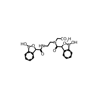 O=C(O)CN(CCNC(=O)C1OB(O)c2ccccc21)C(=O)C1OB(O)c2ccccc21